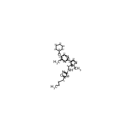 CCCCc1nc(NCc2c(-c3ncc(OC4CCCCC4)c(C)n3)cnn2C)no1